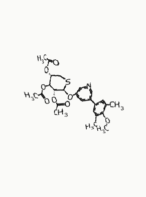 COc1c(C)cc(-c2cncc(O[C@@H]3SC[C@@H](OC(C)=O)[C@H](OC(C)=O)[C@H]3OC(C)=O)c2)cc1C